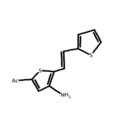 CC(=O)c1cc(N)c(/C=C/c2cccs2)s1